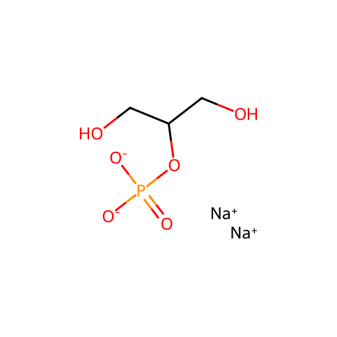 O=P([O-])([O-])OC(CO)CO.[Na+].[Na+]